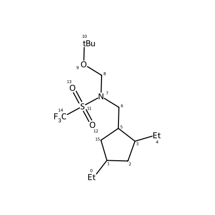 CCC1CC(CC)C(CN(COC(C)(C)C)S(=O)(=O)C(F)(F)F)C1